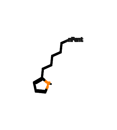 CCCCCCCCCCC1=CC=C[P]1